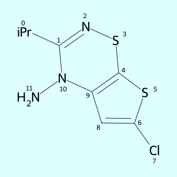 CC(C)C1=NSc2sc(Cl)cc2N1N